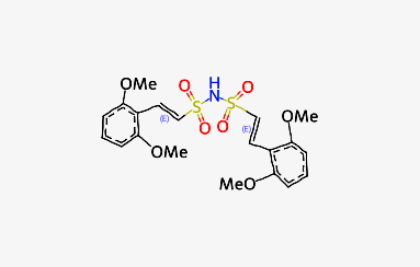 COc1cccc(OC)c1/C=C/S(=O)(=O)NS(=O)(=O)/C=C/c1c(OC)cccc1OC